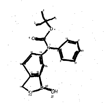 CC(C)(C)OC(=O)N(c1ccccc1)c1ccc2c(c1)B(O)OC2